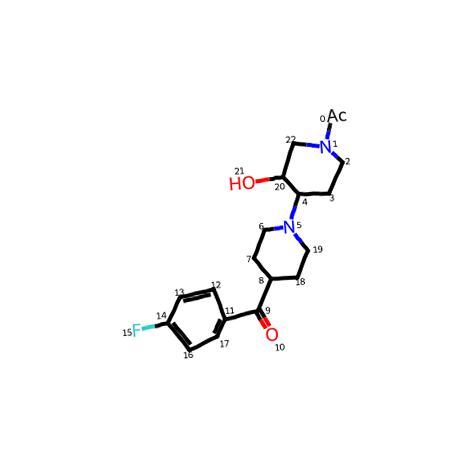 CC(=O)N1CCC(N2CCC(C(=O)c3ccc(F)cc3)CC2)C(O)C1